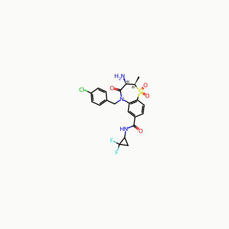 C[C@@H]1[C@H](N)C(=O)N(Cc2ccc(Cl)cc2)c2cc(C(=O)NC3CC3(F)F)ccc2S1(=O)=O